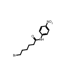 O=C(CCCCCBr)Nc1ccc([N+](=O)[O-])cc1